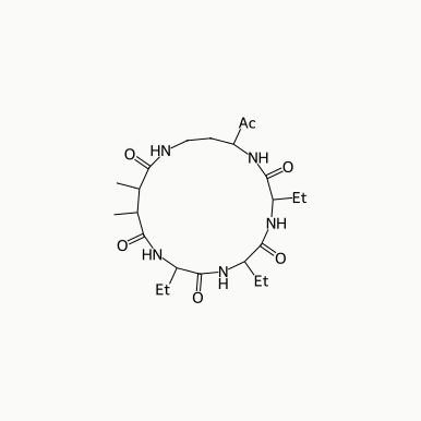 CCC1NC(=O)C(CC)NC(=O)C(CC)NC(=O)C(C)C(C)C(=O)NCCC(C(C)=O)NC1=O